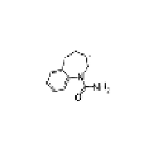 NC(=O)N1C[CH]CCc2ccccc21